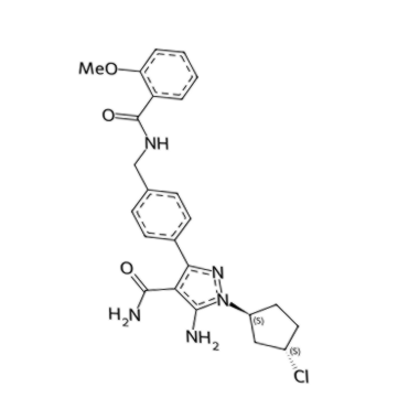 COc1ccccc1C(=O)NCc1ccc(-c2nn([C@H]3CC[C@H](Cl)C3)c(N)c2C(N)=O)cc1